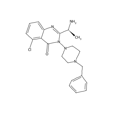 C[C@H](N)c1nc2cccc(Cl)c2c(=O)n1N1CCN(Cc2ccccc2)CC1